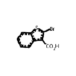 O=C(O)c1c(Br)sc2ccccc12